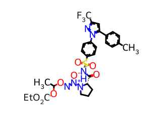 CCOC(=O)OC(C)O/N=[N+](\[O-])N1CCC[C@H]1C(=O)NS(=O)(=O)c1ccc(-n2nc(C(F)(F)F)cc2-c2ccc(C)cc2)cc1